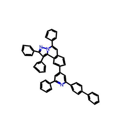 c1ccc(-c2ccc(-c3cc(-c4ccc5cc(-c6ccccc6)n6nc(-c7ccccc7)c(-c7ccccc7)c6c5c4)cc(-c4ccccc4)n3)cc2)cc1